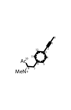 CC#Cc1ccc(C[C@H](NC)C(C)=O)cc1